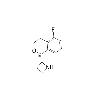 Fc1cccc2c1CCO[C@H]2C1CCN1